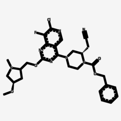 CO[C@@H]1CC(COc2nc(N3CCN(C(=O)OCc4ccccc4)[C@@H](CC#N)C3)c3cnc(Cl)c(F)c3n2)N(C)C1